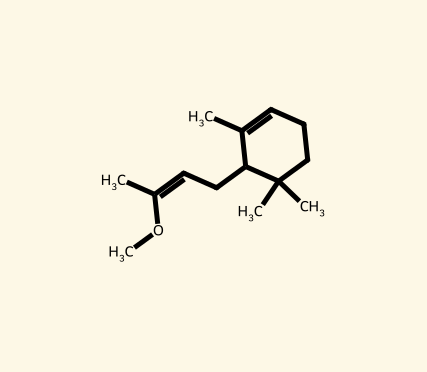 COC(C)=CCC1C(C)=CCCC1(C)C